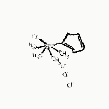 [CH3][Zr+3]([CH3])([CH3])([CH3])([CH3])[C]1=CC=CC1.[Cl-].[Cl-].[Cl-]